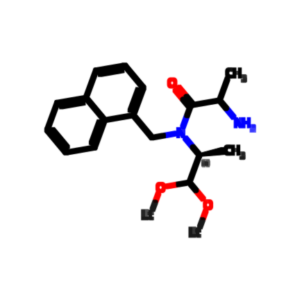 CCOC(OCC)[C@H](C)N(Cc1cccc2ccccc12)C(=O)C(C)N